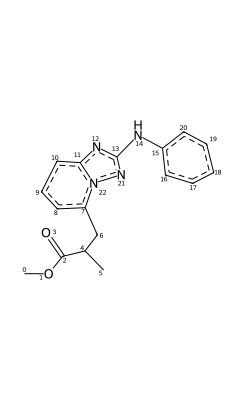 COC(=O)C(C)Cc1cccc2nc(Nc3ccccc3)nn12